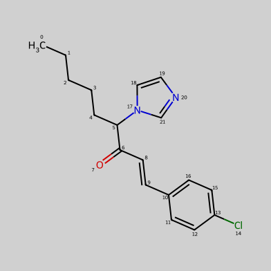 CCCCCC(C(=O)C=Cc1ccc(Cl)cc1)n1ccnc1